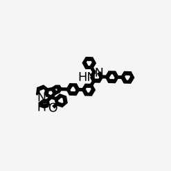 C1=CC2=C(NC1)C1(c3ccccc3Oc3ccccc31)c1cc(-c3ccc(-c4cccc(C5=CC(c6ccc(-c7ccccc7)cc6)=NC(c6ccccc6)N5)c4)cc3)ccc12